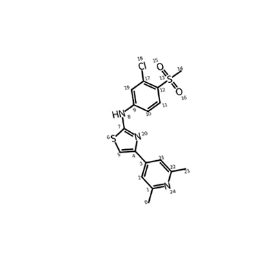 Cc1cc(-c2csc(Nc3ccc(S(C)(=O)=O)c(Cl)c3)n2)cc(C)n1